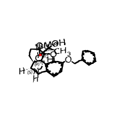 CO[C@@]12CC[C@]3(C[C@@H]1[C@](C)(O)C(C)(C)C)[C@@H]1Cc4ccc(OCc5ccccc5)c5c4[C@]3(CCN1)[C@@H]2O5